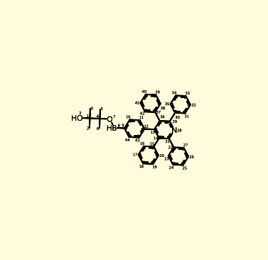 CC(C)(O)C(C)(C)OBc1ccc(-c2c(-c3ccccc3)c(-c3ccccc3)nc(-c3ccccc3)c2-c2ccccc2)cc1